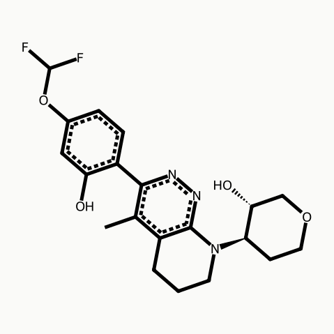 Cc1c(-c2ccc(OC(F)F)cc2O)nnc2c1CCCN2[C@@H]1CCOC[C@H]1O